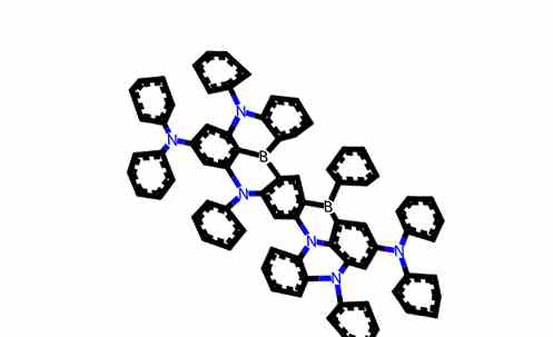 c1ccc(B2c3cc4c(cc3N3c5ccccc5N(c5ccccc5)c5cc(N(c6ccccc6)c6ccccc6)cc2c53)N(c2ccccc2)c2cc(N(c3ccccc3)c3ccccc3)cc3c2B4c2ccccc2N3c2ccccc2)cc1